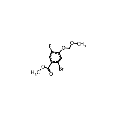 COCOc1cc(Br)c(C(=O)OC)cc1F